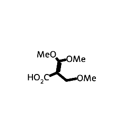 COCC(C(=O)O)=C(OC)OC